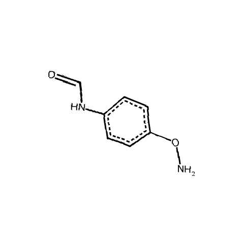 NOc1ccc(NC=O)cc1